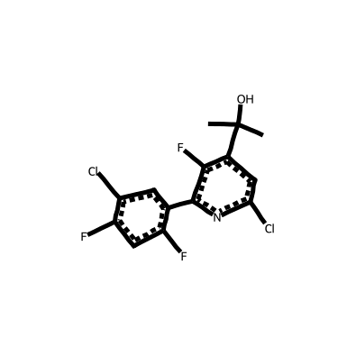 CC(C)(O)c1cc(Cl)nc(-c2cc(Cl)c(F)cc2F)c1F